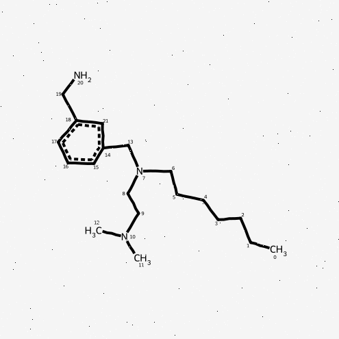 CCCCCCCN(CCN(C)C)Cc1cccc(CN)c1